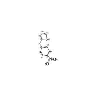 O=[N+]([O-])c1ccc(Cc2cccs2)cc1